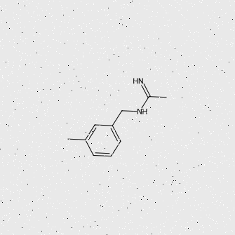 CC(=N)NCc1cccc(C)c1